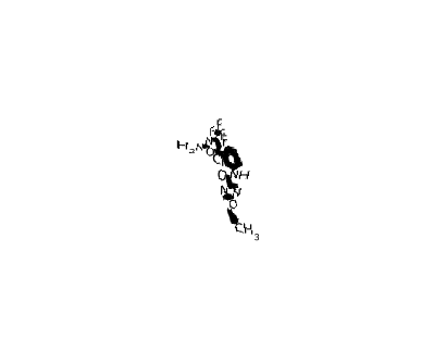 CC#CCOc1cnc(C(=O)Nc2ccc(F)c([C@]3(C)C[C@@H](C(F)(F)F)N=C(N)O3)c2)cn1